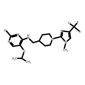 CC(C)Oc1cnc(Cl)nc1NCC1CCN(c2nc(C(F)(F)F)cn2C)CC1